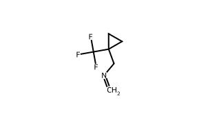 C=NCC1(C(F)(F)F)CC1